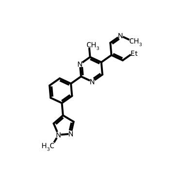 CC/C=C(\C=N/C)c1cnc(-c2cccc(-c3cnn(C)c3)c2)nc1C